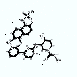 CCCS(=O)(=O)Nc1c(F)ccc2c(Oc3ncccc3-c3ccnc(NC4CN(C(=O)OC(C)(C)C)CCC4C)n3)c(C)ccc12